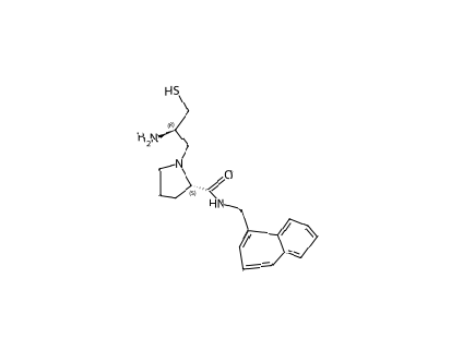 N[C@@H](CS)CN1CCC[C@H]1C(=O)NCc1cccc2ccccc12